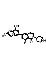 Cc1cn2cc(-c3cc(F)c4c(=O)n(C5CCNCC5)ccc4c3)cc(C#N)c2n1